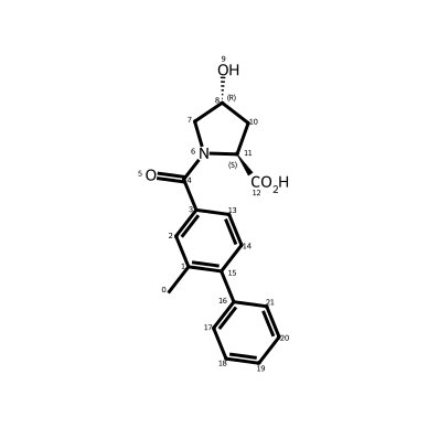 Cc1cc(C(=O)N2C[C@H](O)C[C@H]2C(=O)O)ccc1-c1ccccc1